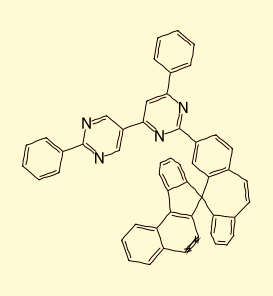 C1=Cc2ccc(-c3nc(-c4ccccc4)cc(-c4cnc(-c5ccccc5)nc4)n3)cc2C2(c3ccccc31)c1ccccc1-c1c2c2ccccc2c2ccccc12